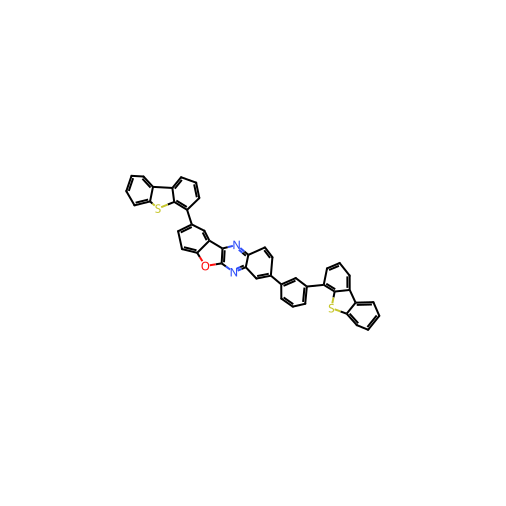 c1cc(-c2ccc3nc4c(nc3c2)oc2ccc(-c3cccc5c3sc3ccccc35)cc24)cc(-c2cccc3c2sc2ccccc23)c1